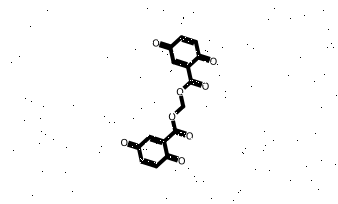 O=C1C=CC(=O)C(C(=O)OCOC(=O)C2=CC(=O)C=CC2=O)=C1